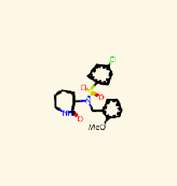 COc1ccccc1CN(C1CCCCNC1=O)S(=O)(=O)c1ccc(Cl)cc1